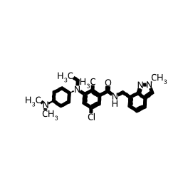 CCN(c1cc(Cl)cc(C(=O)NCc2cccc3cn(C)nc23)c1C)[C@H]1CC[C@H](N(C)C)CC1